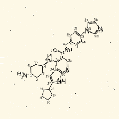 N[C@H]1CC[C@H](Nc2c(C(=O)NCc3ccc(-n4ccnc4)cc3)cnc3[nH]c(C4CCCC4)cc23)CC1